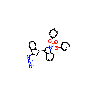 [N-]=[N+]=NC1CC(c2cn(P(=O)(Oc3ccccc3)Oc3ccccc3)c3ccccc23)c2ccccc21